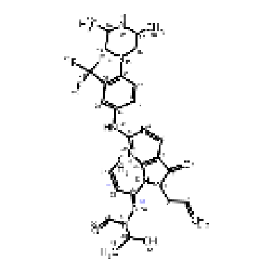 C=CCn1c(=O)c2cnc(Nc3ccc(N4CC(C)NC(C)C4)c(C(F)(F)F)c3)nc2n1C(/C=C\C)=N/N(C=O)C(C)C